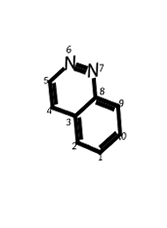 [c]1ccc2ccnnc2c1